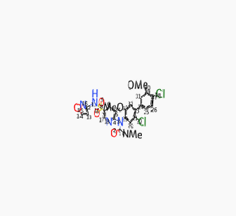 CNC(=O)N(c1ccc(S(=O)(=O)Nc2ccon2)cn1)c1cc(Cl)c(-c2ccc(Cl)c(OC)c2)cc1OC